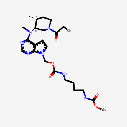 C[C@@H]1CCN(C(=O)CC#N)C[C@@H]1N(C)c1ncnc2c1ccn2COC(=O)NCCCCNC(=O)OC(C)(C)C